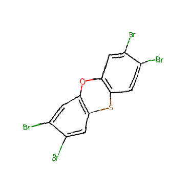 Brc1cc2c(cc1Br)Sc1cc(Br)c(Br)cc1O2